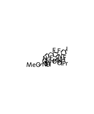 COCCNS(=O)(=O)Nc1nccc(Cc2cc(C(=O)NOC(C)C)c(Nc3ccc(I)cc3F)c(F)c2F)c1F